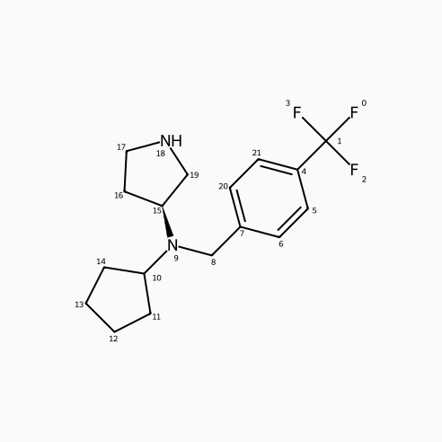 FC(F)(F)c1ccc(CN(C2CCCC2)[C@H]2CCNC2)cc1